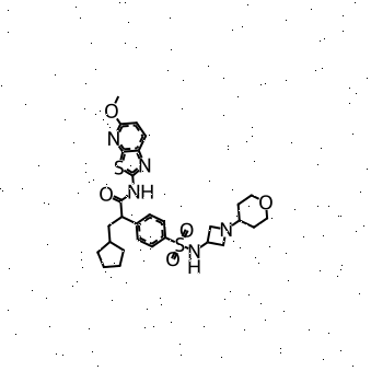 COc1ccc2nc(NC(=O)C(CC3CCCC3)c3ccc(S(=O)(=O)NC4CN(C5CCOCC5)C4)cc3)sc2n1